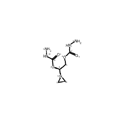 NNC(=O)OCC(OC(=O)NN)N1CC1